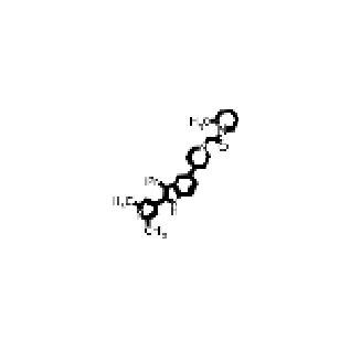 Cc1cc(-c2[nH]c3ccc(C4CCN(CC(=O)N5CCCCC5C)CC4)cc3c2C(C)C)cc(C)n1